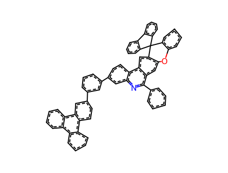 c1ccc(-c2nc3cc(-c4cccc(-c5ccc6c7ccccc7c7ccccc7c6c5)c4)ccc3c3cc4c(cc23)Oc2ccccc2C42c3ccccc3-c3ccccc32)cc1